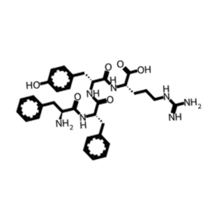 N=C(N)NCCC[C@H](NC(=O)[C@@H](Cc1ccc(O)cc1)NC(=O)[C@H](Cc1ccccc1)NC(=O)[C@@H](N)Cc1ccccc1)C(=O)O